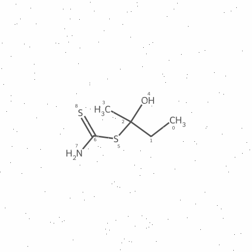 CCC(C)(O)SC(N)=S